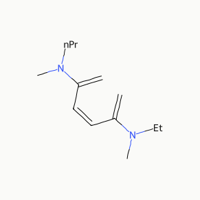 C=C(/C=C\C(=C)N(C)CCC)N(C)CC